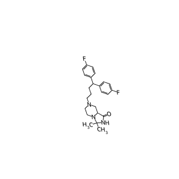 CC1(C)NC(=O)C2CN(CCCC(c3ccc(F)cc3)c3ccc(F)cc3)CCN21